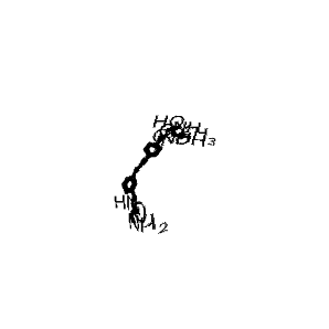 C[C@@H](O)[C@H](NC(=O)c1ccc(C#CC#Cc2cccc(CNC(=O)CN)c2)cc1)C(=O)NO